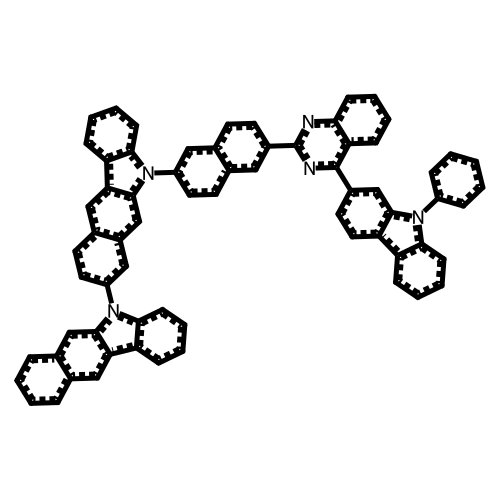 c1ccc(-n2c3ccccc3c3ccc(-c4nc(-c5ccc6cc(-n7c8ccccc8c8cc9ccc(-n%10c%11ccccc%11c%11cc%12ccccc%12cc%11%10)cc9cc87)ccc6c5)nc5ccccc45)cc32)cc1